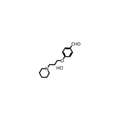 Cl.O=Cc1ccc(OCCCN2CCCCC2)cc1